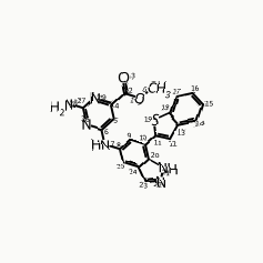 COC(=O)c1cc(Nc2cc(-c3cc4ccccc4s3)c3[nH]ncc3c2)nc(N)n1